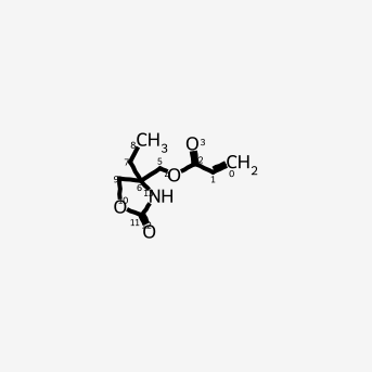 C=CC(=O)OCC1(CC)COC(=O)N1